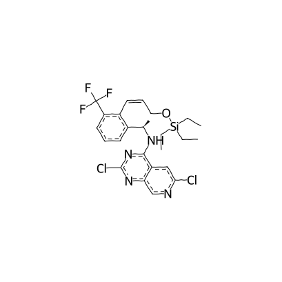 CC[Si](CC)(CC)OC/C=C\c1c([C@@H](C)Nc2nc(Cl)nc3cnc(Cl)cc23)cccc1C(F)(F)F